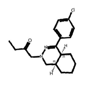 CCC(=O)CN1C[C@@H]2CCCC[C@@H]2C(c2ccc(Cl)cc2)=N1